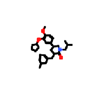 COc1ccc(C2CC(Cc3cccc(C)c3)C(=O)N(CC(C)C)C2)cc1OC1CCCC1